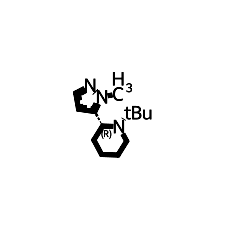 Cn1nccc1[C@H]1CCCCN1C(C)(C)C